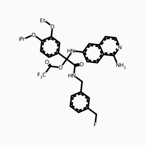 CCOc1cc(C(Nc2ccc3c(N)nccc3c2)(OC(=O)C(F)(F)F)C(=O)NCc2cccc(CF)c2)ccc1OC(C)C